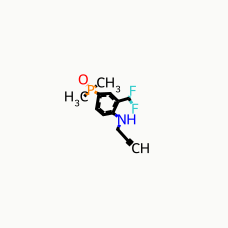 C#CCNc1ccc(P(C)(C)=O)cc1C(F)F